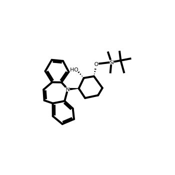 CC(C)(C)[Si](C)(C)O[C@@H]1CCC[C@@H](N2c3ccccc3C=Cc3ccccc32)[C@@H]1O